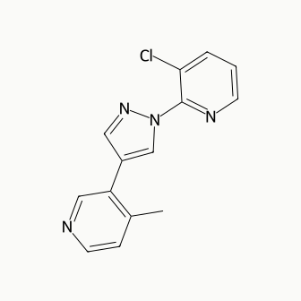 Cc1ccncc1-c1cnn(-c2ncccc2Cl)c1